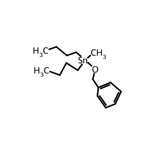 CCC[CH2][Sn]([CH3])([CH2]CCC)[O]Cc1ccccc1